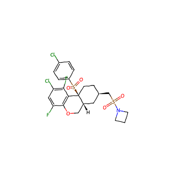 O=S(=O)(C[C@@H]1CC[C@@]2(S(=O)(=O)c3ccc(Cl)cc3)c3c(F)c(Cl)cc(F)c3OC[C@H]2C1)N1CCC1